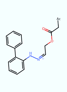 CC(=O)CC(=O)OC/C=N\Nc1ccccc1-c1ccccc1